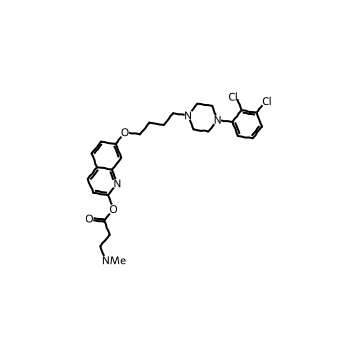 CNCCC(=O)Oc1ccc2ccc(OCCCCN3CCN(c4cccc(Cl)c4Cl)CC3)cc2n1